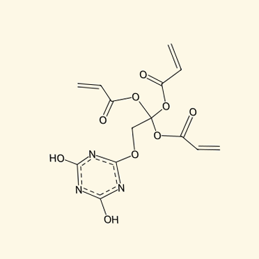 C=CC(=O)OC(COc1nc(O)nc(O)n1)(OC(=O)C=C)OC(=O)C=C